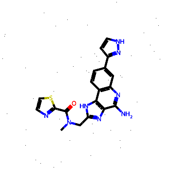 CN(Cc1nc2c(N)nc3cc(-c4cc[nH]n4)ccc3c2[nH]1)C(=O)c1nccs1